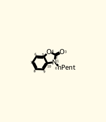 CCCCCn1c(=O)oc2ccccc21